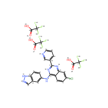 Clc1ccc2c(Nc3ccc4[nH]ncc4c3)nc(-c3cccnc3)nc2c1.O=C(O)C(F)(F)F.O=C(O)C(F)(F)F.O=C(O)C(F)(F)F